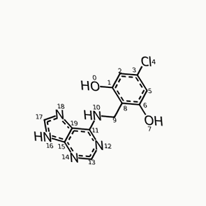 Oc1cc(Cl)cc(O)c1CNc1ncnc2[nH]cnc12